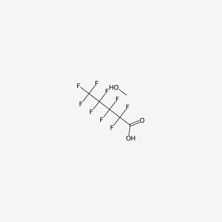 CO.O=C(O)C(F)(F)C(F)(F)C(F)(F)C(F)(F)F